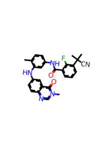 Cc1ccc(NC(=O)c2cccc(C(C)(C)C#N)c2F)cc1Nc1ccc2ncn(C)c(=O)c2c1